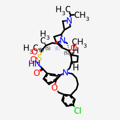 CO[C@]1(CN2CCC2C2CN(C(C)C)C2)/C=C/C[C@H](C)[C@@H](C)S(=O)(=O)NC(=O)c2ccc3c(c2)N(CCCCc2cc(Cl)ccc2CO3)C[C@@H]2CC[C@H]21